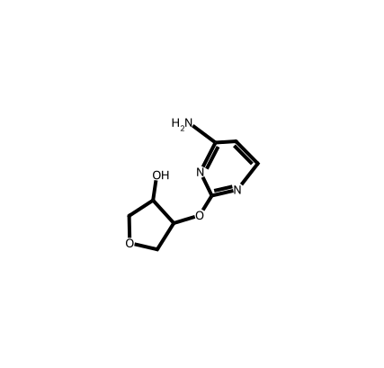 Nc1ccnc(OC2COCC2O)n1